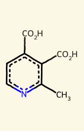 Cc1nccc(C(=O)O)c1C(=O)O